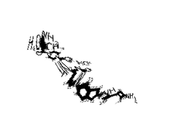 CC(C)(N)C(=O)N1CCN(C(=O)Nc2ccn(-c3ccc4c(c3)CC(NCC3CC(N)C3)C4)c(=O)n2)CC1.Cl